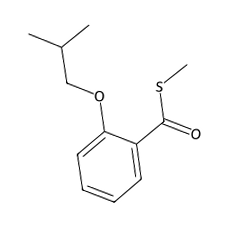 CSC(=O)c1ccccc1OCC(C)C